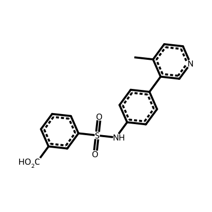 Cc1ccncc1-c1ccc(NS(=O)(=O)c2cccc(C(=O)O)c2)cc1